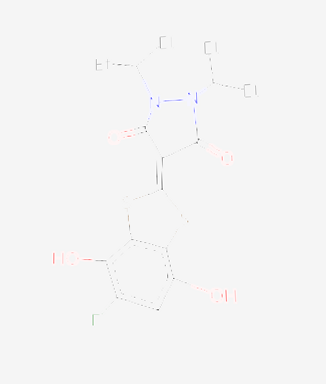 CCC(CC)N1C(=O)C(=C2Sc3c(O)cc(F)c(O)c3S2)C(=O)N1C(CC)CC